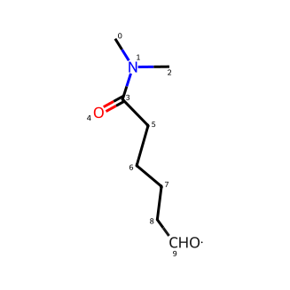 CN(C)C(=O)CCCC[C]=O